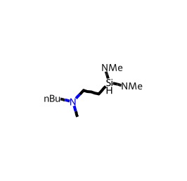 CCCCN(C)CC[SiH](NC)NC